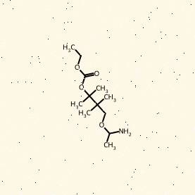 CCOC(=O)OC(C)(C)C(C)(C)COC(C)N